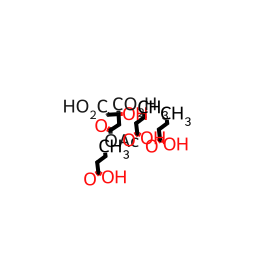 CC(=O)OC(=O)CC(O)(CC(=O)O)C(=O)O.CCCC(=O)O.CCCC(=O)O.CCCC(=O)O